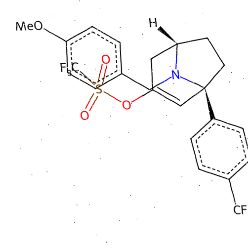 COc1ccc(CN2[C@H]3CC[C@]2(c2ccc(C(F)(F)F)cc2)C=C(OS(=O)(=O)C(F)(F)F)C3)cc1